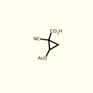 CC(=O)OC1CC1(C#N)C(=O)O